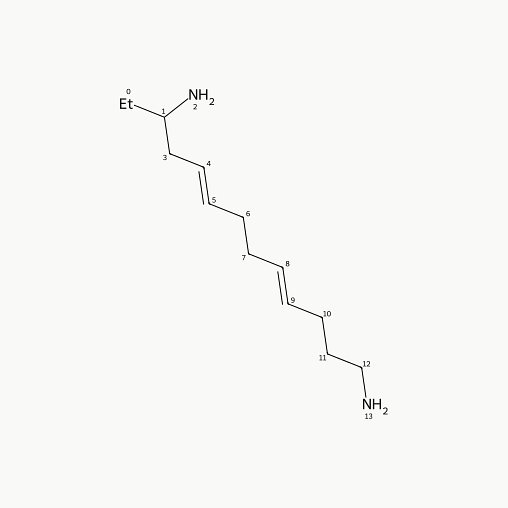 CCC(N)C/C=C/CC/C=C/CCCN